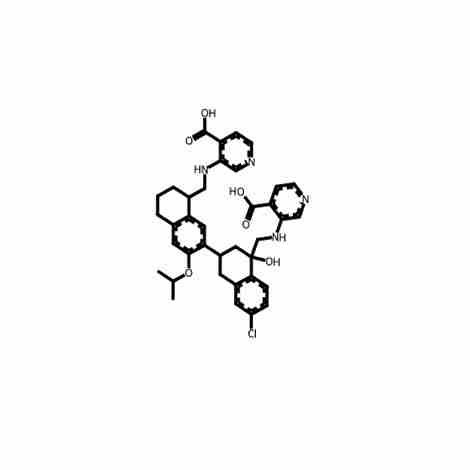 CC(C)Oc1cc2c(cc1C1Cc3cc(Cl)ccc3C(O)(CNc3cnccc3C(=O)O)C1)C(CNc1cnccc1C(=O)O)CCC2